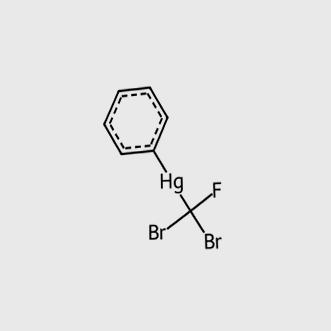 F[C](Br)(Br)[Hg][c]1ccccc1